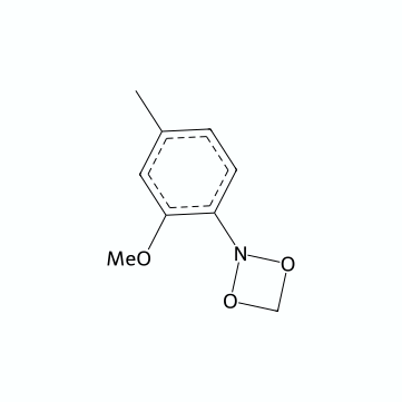 COc1cc(C)ccc1N1OCO1